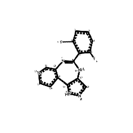 Fc1cccc(F)c1C1=Nc2cnccc2-c2[nH]ncc2N1